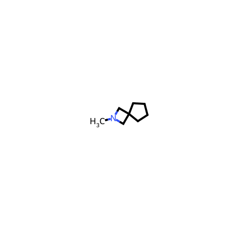 CN1CC2(CCCC2)C1